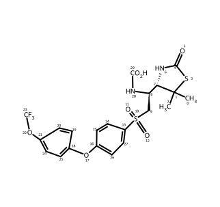 CC1(C)SC(=O)N[C@H]1[C@@H](CS(=O)(=O)c1ccc(Oc2ccc(OC(F)(F)F)cc2)cc1)NC(=O)O